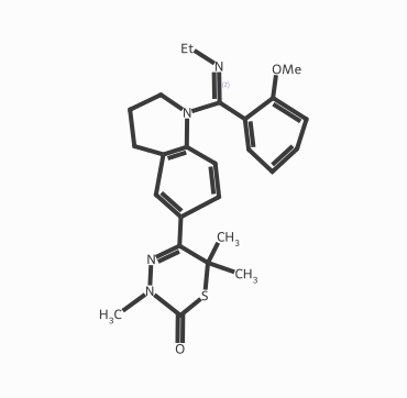 CC/N=C(/c1ccccc1OC)N1CCCc2cc(C3=NN(C)C(=O)SC3(C)C)ccc21